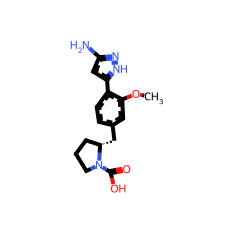 COc1cc(C[C@H]2CCCN2C(=O)O)ccc1-c1cc(N)n[nH]1